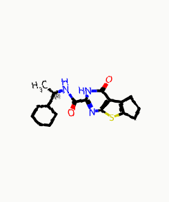 C[C@@H](NC(=O)c1nc2sc3c(c2c(=O)[nH]1)CCC3)C1CCCCC1